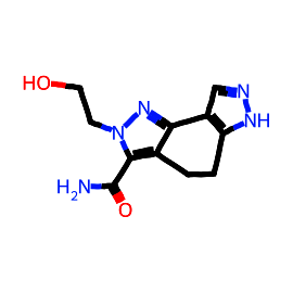 NC(=O)c1c2c(nn1CCO)-c1cn[nH]c1CC2